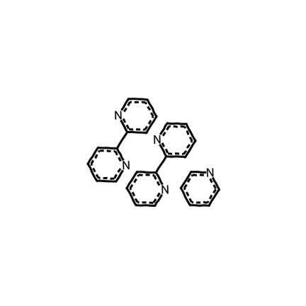 c1ccc(-c2ccccn2)nc1.c1ccc(-c2ccccn2)nc1.c1ccncc1